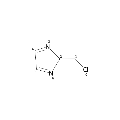 ClCC1N=CC=N1